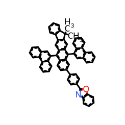 CC1(C)c2ccccc2-c2cc3c(-c4cc5ccccc5c5ccccc45)c4ccc(-c5ccc(-c6nc7ccccc7o6)cc5)cc4c(-c4cc5ccccc5c5ccccc45)c3cc21